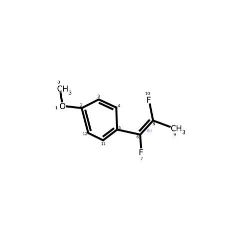 COc1ccc(/C(F)=C(/C)F)cc1